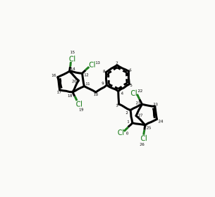 ClC1C(Cc2ccccc2CC2C(Cl)C3(Cl)C=CC2(Cl)C3)C2(Cl)C=CC1(Cl)C2